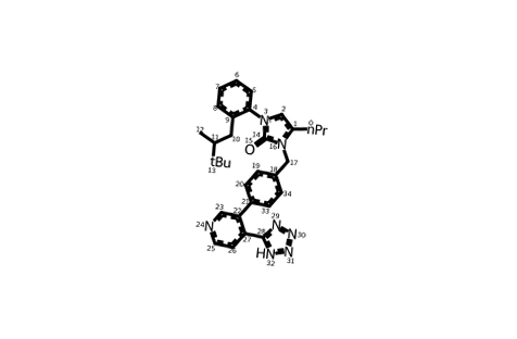 CCCc1cn(-c2ccccc2CC(C)C(C)(C)C)c(=O)n1Cc1ccc(-c2cnccc2-c2nnn[nH]2)cc1